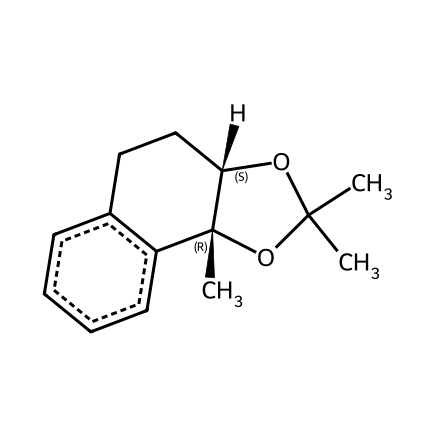 CC1(C)O[C@H]2CCc3ccccc3[C@@]2(C)O1